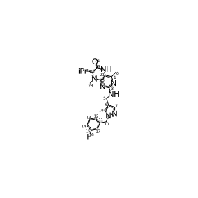 Cc1nc(NCc2cnn(Cc3cccc(F)c3)c2)nc2c1NC(=O)C(C(C)C)N2C